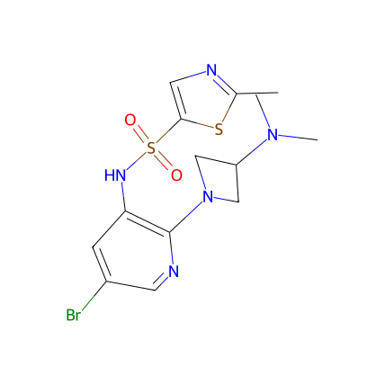 Cc1ncc(S(=O)(=O)Nc2cc(Br)cnc2N2CC(N(C)C)C2)s1